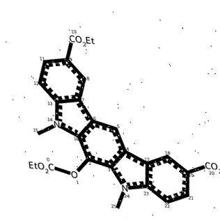 CCOC(=O)Oc1c2c(cc3c4cc(C(=O)OCC)ccc4n(C)c13)c1cc(C(=O)OCC)ccc1n2C